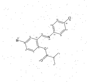 CC(C)C(=O)Oc1ccc(Br)cc1C=Nc1ccc(Cl)cc1